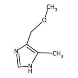 COCc1nc[nH]c1C